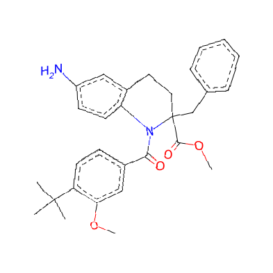 COC(=O)C1(Cc2ccccc2)CCc2cc(N)ccc2N1C(=O)c1ccc(C(C)(C)C)c(OC)c1